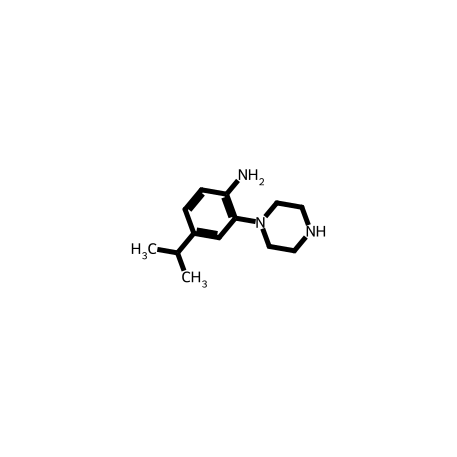 CC(C)c1ccc(N)c(N2CCNCC2)c1